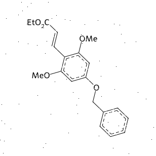 CCOC(=O)C=Cc1c(OC)cc(OCc2ccccc2)cc1OC